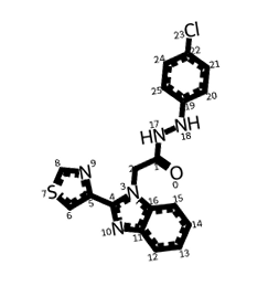 O=C(Cn1c(-c2cscn2)nc2ccccc21)NNc1ccc(Cl)cc1